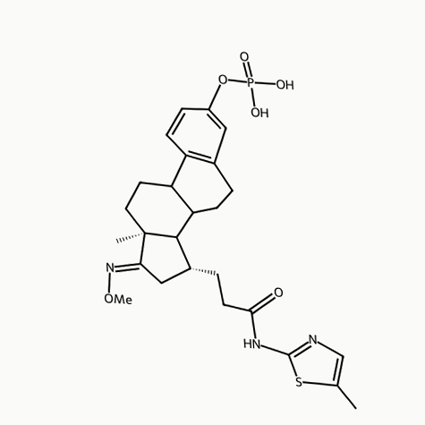 CO/N=C1\C[C@@H](CCC(=O)Nc2ncc(C)s2)C2C3CCc4cc(OP(=O)(O)O)ccc4C3CC[C@]12C